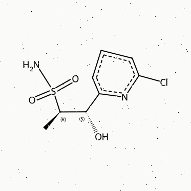 C[C@H]([C@@H](O)c1cccc(Cl)n1)S(N)(=O)=O